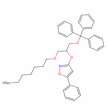 CCCCCCCCCCCCCCCCOCC(COC(c1ccccc1)(c1ccccc1)c1ccccc1)Oc1cc(-c2ccccc2)on1